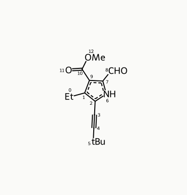 CCc1c(C#CC(C)(C)C)[nH]c(C=O)c1C(=O)OC